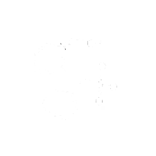 C=C[n+]1ccccc1.O=S(=O)([O-])Cc1ccccc1